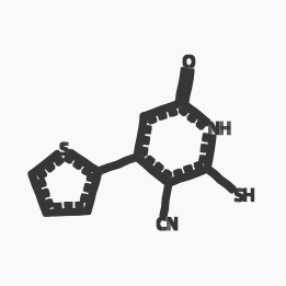 N#Cc1c(-c2cccs2)cc(=O)[nH]c1S